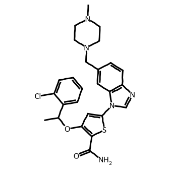 CC(Oc1cc(-n2cnc3ccc(CN4CCN(C)CC4)cc32)sc1C(N)=O)c1ccccc1Cl